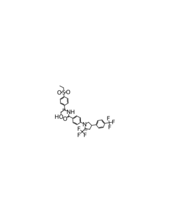 CCS(=O)(=O)c1ccc([C@H](CO)NC(=O)c2ccc(N3CC(c4ccc(C(F)(F)F)cc4)C[C@H]3C(F)(F)F)cc2)cc1